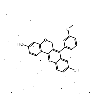 COc1cccc(-c2c3c(nc4ccc(O)cc24)-c2ccc(O)cc2OC3)c1